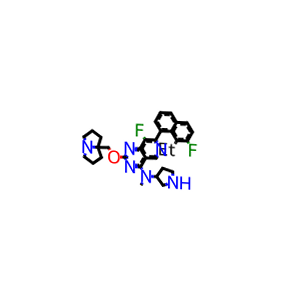 CCc1c(F)ccc2cccc(-c3ncc4c(N(C)C5CCNC5)nc(OCC56CCCN5CCC6)nc4c3F)c12